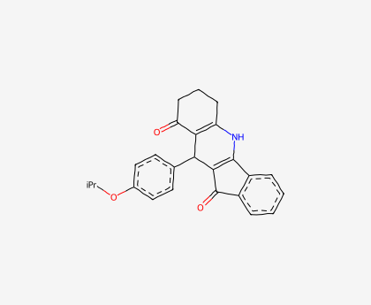 CC(C)Oc1ccc(C2C3=C(CCCC3=O)NC3=C2C(=O)c2ccccc23)cc1